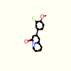 COc1ccc(-c2cc(=O)n3ccccc3c2)cc1F